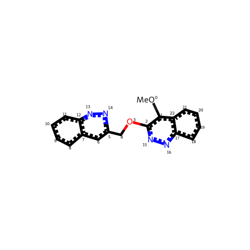 COc1c(OCc2cc3ccccc3nn2)nnc2ccccc12